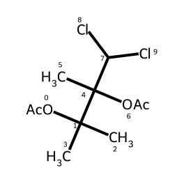 CC(=O)OC(C)(C)C(C)(OC(C)=O)C(Cl)Cl